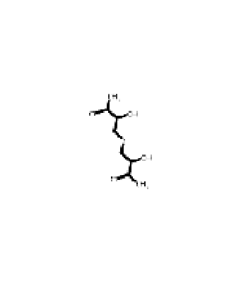 CC(Cl)C(O)CSCC(O)C(C)Cl